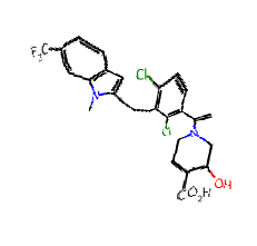 C=C(c1ccc(Cl)c(Cc2cc3ccc(C(F)(F)F)cc3n2C)c1Cl)N1CCC(C(=O)O)C(O)C1